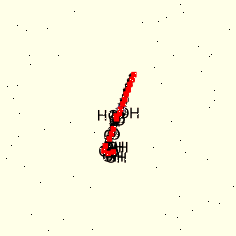 CCCCCCCCCCCCC/C=C/C[C@H](CO)N(O)C(=O)OCCCCC(=O)OCCCC[C@@H]1OCC2(O)N(O)ON(O)C12O